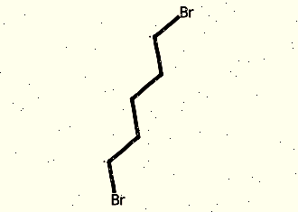 Br[CH]CCC[CH]Br